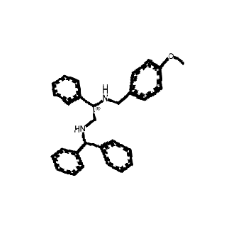 COc1ccc(CN[C@@H](CNC(c2ccccc2)c2ccccc2)c2ccccc2)cc1